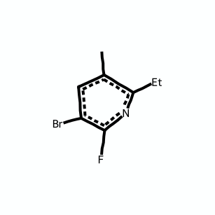 CCc1nc(F)c(Br)cc1C